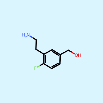 NCCc1cc(CO)ccc1F